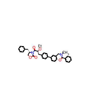 CCO[C@@H](Cc1ccc(-c2cccc(CN(C)C(=O)c3ccccc3)c2)cc1)C(=O)N1C(=O)OC[C@@H]1Cc1ccccc1